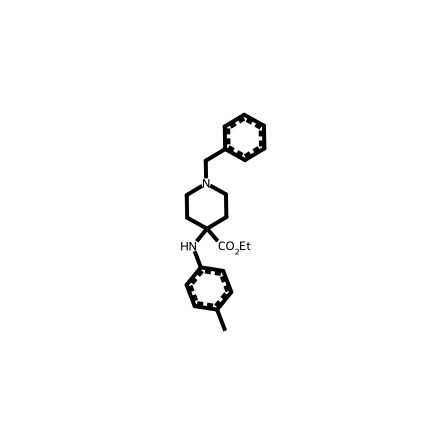 CCOC(=O)C1(Nc2ccc(C)cc2)CCN(Cc2ccccc2)CC1